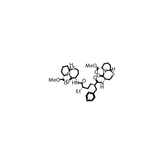 CC[C@@H](CC[C@H](Cc1ccccc1)C(=O)N[C@H]1CCS[C@H]2CCC[C@@H](C(=O)OC)N2C1=O)C(=O)N[C@H]1CCS[C@H]2CCC[C@@H](C(=O)OC)N2C1=O